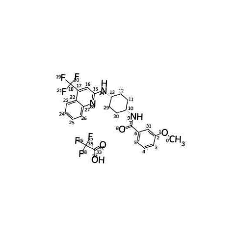 COc1cccc(C(=O)N[C@H]2CC[C@@H](Nc3cc(C(F)(F)F)c4ccccc4n3)CC2)c1.O=C(O)C(F)(F)F